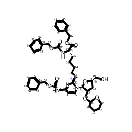 O=C(Nc1ccn([C@@H]2O[C@H](CO)CC2OC2CCCCO2)/c(=N/CCCC[C@H](NC(=O)OCc2ccccc2)C(=O)OCc2ccccc2)n1)OCc1ccccc1